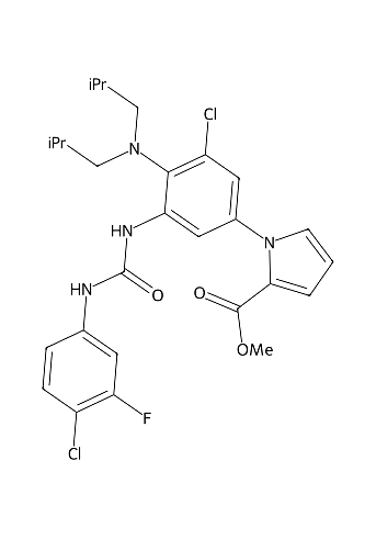 COC(=O)c1cccn1-c1cc(Cl)c(N(CC(C)C)CC(C)C)c(NC(=O)Nc2ccc(Cl)c(F)c2)c1